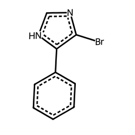 Brc1nc[nH]c1-c1ccccc1